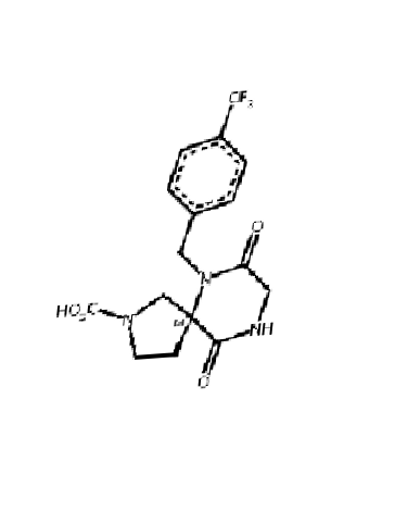 O=C(O)N1CC[C@]2(C1)C(=O)NCC(=O)N2Cc1ccc(C(F)(F)F)cc1